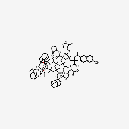 CCC(C)(CC(C)(CC(C)(CC(C)(CC(C)(CC(C)(CC(C)(CC(C)(CC(C)c1ccc2cc(O)ccc2c1)C(=O)OC1CCOC1=O)C(=O)OC1CCOC1=O)C(=O)OC1CCOC1=O)C(=O)OC1CCOC1=O)C(=O)OC1(C)C2CC3CC(C2)CC1C3)C(=O)OC1(C)C2CC3CC(C2)CC1C3)C(=O)OC1(C)C2CC3CC(C2)CC1C3)C(=O)OC1(C)C2CC3CC(C2)CC1C3